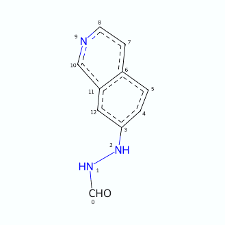 O=CNNc1ccc2ccncc2c1